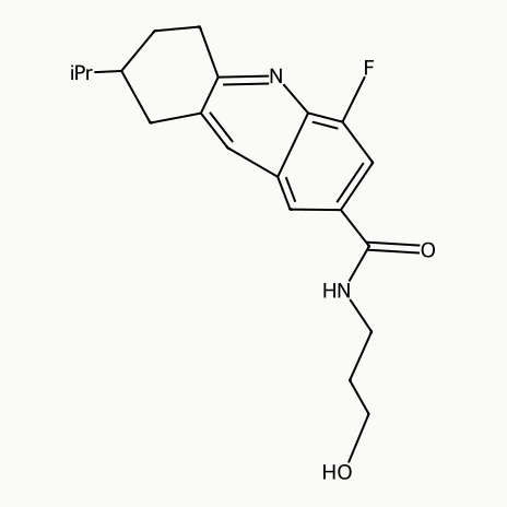 CC(C)C1CCc2nc3c(F)cc(C(=O)NCCCO)cc3cc2C1